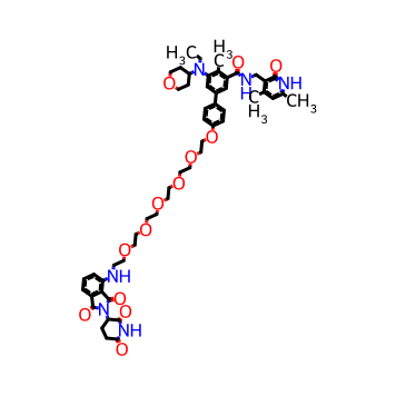 CCN(c1cc(-c2ccc(OCCOCCOCCOCCOCCOCCNc3cccc4c3C(=O)N(C3CCC(=O)NC3=O)C4=O)cc2)cc(C(=O)NCc2c(C)cc(C)[nH]c2=O)c1C)C1CCOCC1